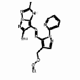 CCOOCc1cnn(-c2ccccn2)c1/N=N/c1c(C(C)(C)C)nn2nc(C)[nH]c12